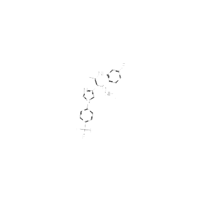 C/C(N)=C(\c1cn(-c2ccc(C(F)(F)F)cc2)cn1)N(N)c1ccc(F)cc1